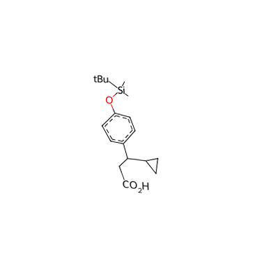 CC(C)(C)[Si](C)(C)Oc1ccc(C(CC(=O)O)C2CC2)cc1